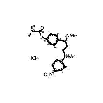 CNC(CCN(C(C)=O)c1ccc([N+](=O)[O-])cc1)c1ccc(OC(=O)N(C)C)cc1.Cl